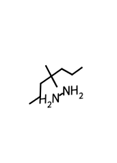 CCCC(C)(C)CCC.NN